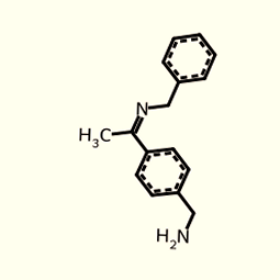 CC(=NCc1ccccc1)c1ccc(CN)cc1